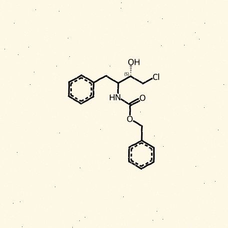 O=C(NC(Cc1ccccc1)[C@H](O)CCl)OCc1ccccc1